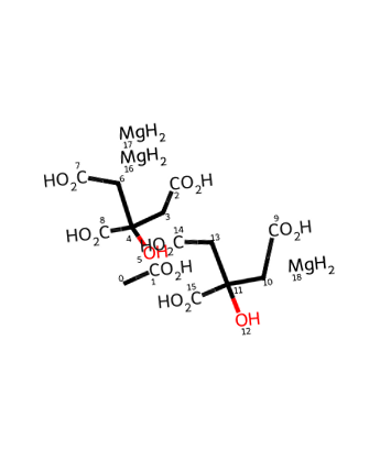 CC(=O)O.O=C(O)CC(O)(CC(=O)O)C(=O)O.O=C(O)CC(O)(CC(=O)O)C(=O)O.[MgH2].[MgH2].[MgH2]